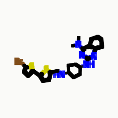 CN(C)c1nc(N[C@H]2CC[C@@H](NCc3ccc(-c4ccc(Br)s4)s3)CC2)nc2ccccc12